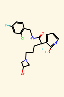 O=C(NCc1ccc(F)cc1Cl)[C@](F)(CCCN1CC(O)C1)c1cccnc1O